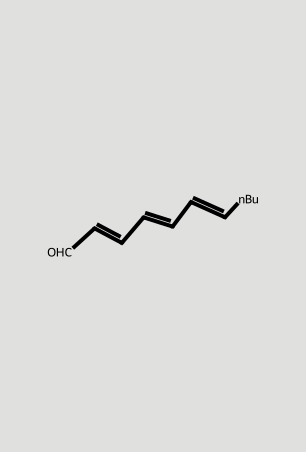 CCCC/C=C/C=C/C=C/C=O